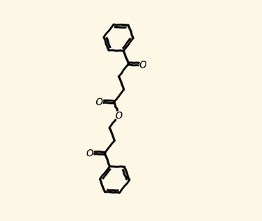 O=C(CCC(=O)c1ccccc1)OCCC(=O)c1ccccc1